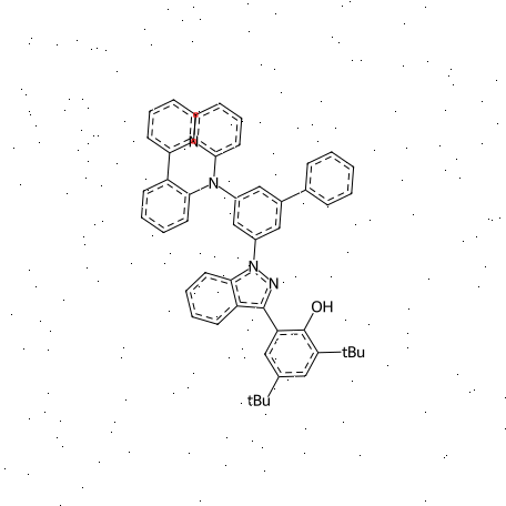 CC(C)(C)c1cc(-c2nn(-c3cc(-c4ccccc4)cc(N(c4ccccn4)c4ccccc4-c4ccccc4)c3)c3ccccc23)c(O)c(C(C)(C)C)c1